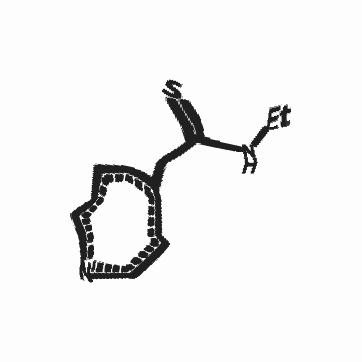 CCNC(=S)c1ccncc1